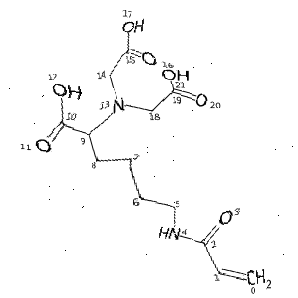 C=CC(=O)NCCCCC(C(=O)O)N(CC(=O)O)CC(=O)O